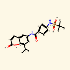 CC(C)c1cc(NC(=O)c2ccc(NS(=O)(=O)C(C)(C)C)cc2)cc2ccc(=O)oc12